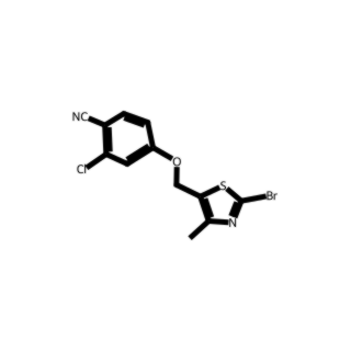 Cc1nc(Br)sc1COc1ccc(C#N)c(Cl)c1